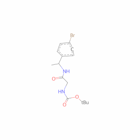 CC(NC(=O)CNC(=O)OC(C)(C)C)c1ccc(Br)cc1